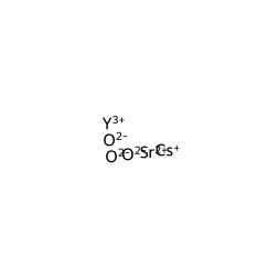 [Cs+].[O-2].[O-2].[O-2].[Sr+2].[Y+3]